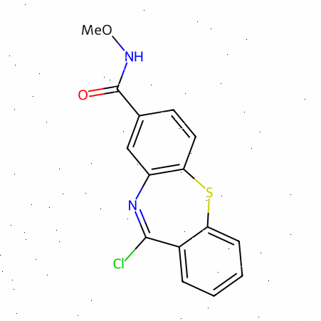 CONC(=O)c1ccc2c(c1)N=C(Cl)c1ccccc1S2